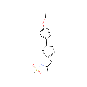 CCOc1ccc(-c2ccc(CC(C)NS(C)(=O)=O)cc2)cc1